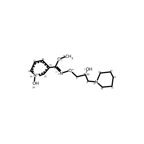 CO/C(=N\OC[C@H](O)CN1CCCCC1)c1ccc[n+](O)c1